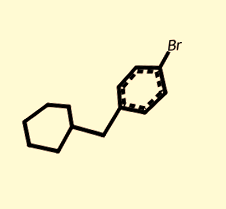 Brc1ccc(CC2CCCCC2)cc1